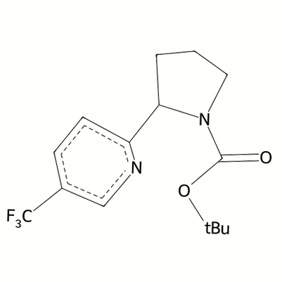 CC(C)(C)OC(=O)N1CCCC1c1ccc(C(F)(F)F)cn1